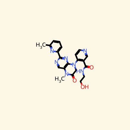 Cc1cccc(-c2ncc3c(n2)N(c2ccncc2C(=O)NCCO)CC(=O)N3C)n1